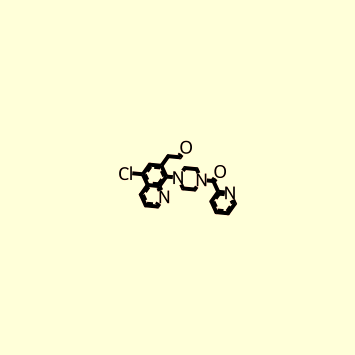 O=CCc1cc(Cl)c2cccnc2c1N1CCN(C(=O)c2ccccn2)CC1